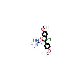 COc1ccc(CC(C(=O)NC(=N)N)c2ccc(OC)cc2)cc1.Cl